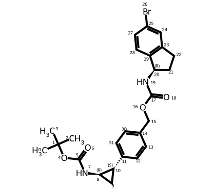 CC(C)(C)OC(=O)N[C@@H]1C[C@H]1c1ccc(COC(=O)N[C@@H]2CCc3cc(Br)ccc32)cc1